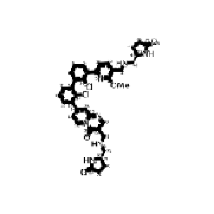 COc1nc(-c2cccc(-c3cccc(-c4ccn5c(=O)c(CNC[C@H]6CCC(=O)N6)cnc5c4)c3Cl)c2Cl)ccc1CNC[C@H]1CCC(=O)N1